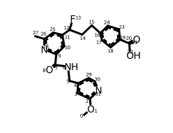 COc1cc(CNC(=O)c2cc(C(F)CCc3ccc(C(=O)O)cc3)cc(C)n2)ccn1